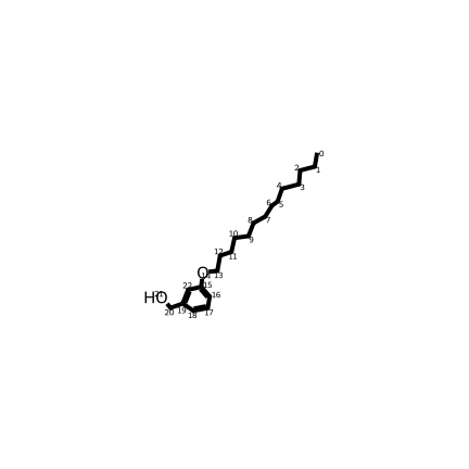 CCCCCCCCCCCCCCOc1cccc(CO)c1